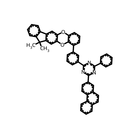 CC1(C)c2ccccc2-c2cc3c(cc21)Oc1c(cccc1-c1cccc(-c2nc(-c4ccccc4)nc(-c4ccc5c(ccc6ccccc65)c4)n2)c1)O3